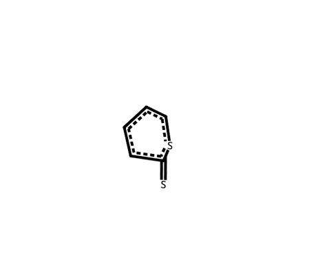 S=c1ccccs1